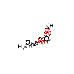 CCOC(=O)OC1CCCC(OC(=O)OCCCCC(C)C)C1